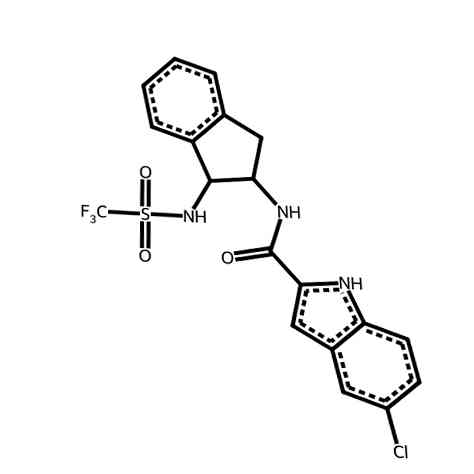 O=C(NC1Cc2ccccc2C1NS(=O)(=O)C(F)(F)F)c1cc2cc(Cl)ccc2[nH]1